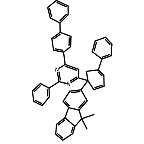 CC1(C)c2ccccc2-c2ccc(C3(c4cc(-c5ccc(-c6ccccc6)cc5)nc(-c5ccccc5)n4)C=CC=C(c4ccccc4)C3)cc21